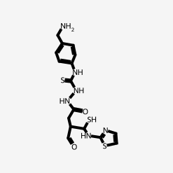 NCc1ccc(NC(=S)NNC(=O)CC(C=O)C(S)Nc2nccs2)cc1